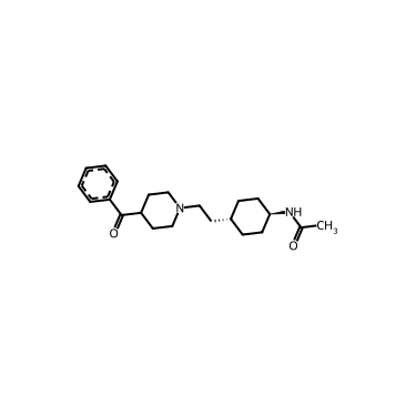 CC(=O)N[C@H]1CC[C@H](CCN2CCC(C(=O)c3ccccc3)CC2)CC1